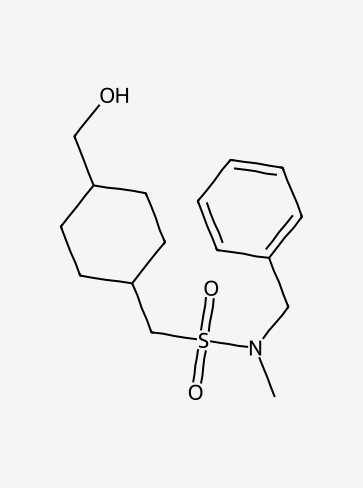 CN(Cc1ccccc1)S(=O)(=O)CC1CCC(CO)CC1